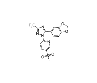 CS(=O)(=O)c1ccc(-n2nc(C(F)(F)F)nc2-c2ccc3c(c2)OCO3)nc1